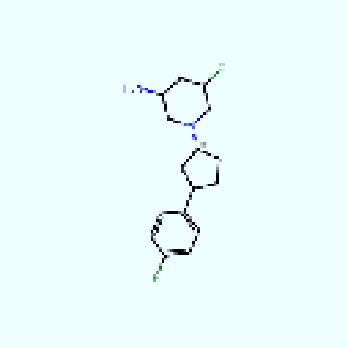 NC1CC(F)CN([C@@H]2CCC(c3ccc(F)cc3)C2)C1